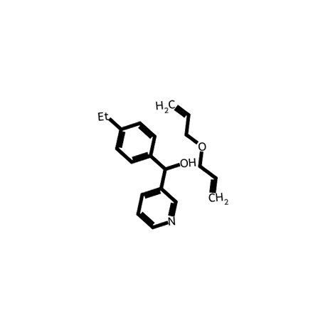 C=CCOCC=C.CCc1ccc(C(O)c2cccnc2)cc1